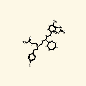 NC(=O)CCN(CCc1ccc(F)cc1)CCN(CCc1ccc(O)c2[nH]c(=O)sc12)C1CCCCCC1